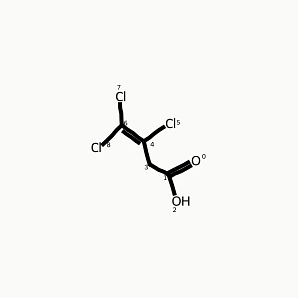 O=C(O)CC(Cl)=C(Cl)Cl